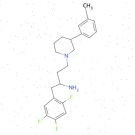 Cc1cccc(C2CCCN(CCC(N)Cc3cc(F)c(F)cc3F)C2)c1